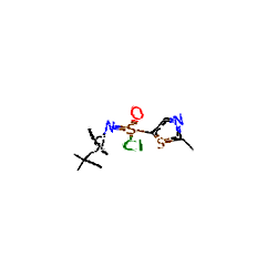 Cc1ncc(S(=O)(Cl)=N[Si](C)(C)C(C)(C)C)s1